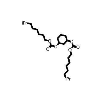 CC(C)CCCCCCOC(=O)OC1CCCC(OC(=O)OCCCCCCC(C)C)C1